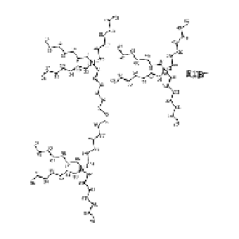 CCCCCCC[N+](CCCCCCC)(CCCCCCC)CCCCCCC.CCCCCCC[N+](CCCCCCC)(CCCCCCC)CCCCCCC.CCCCCCC[N+](CCCCCCC)(CCCCCCC)CCCCCCC.[Br-].[Cl-].[F-]